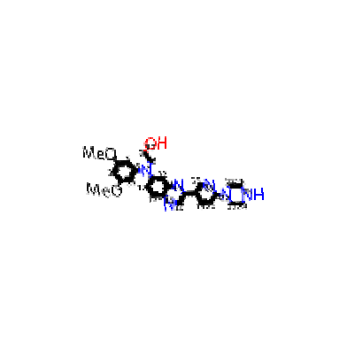 COc1cc(OC)cc(N(CCO)c2ccc3ncc(-c4ccc(N5CCNCC5)nc4)nc3c2)c1